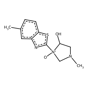 Cc1ccc2sc([N+]3([O-])CN(C)CC3O)nc2c1